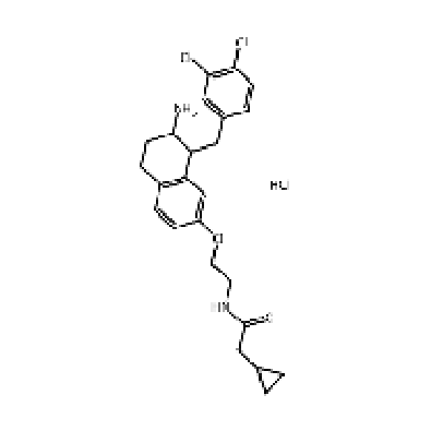 Cl.NC1CCc2ccc(OCCNC(=O)CC3CC3)cc2C1Cc1ccc(Cl)c(Cl)c1